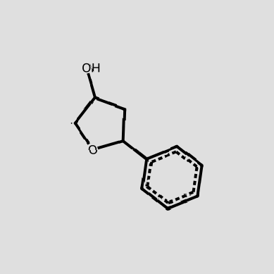 OC1[CH]OC(c2ccccc2)C1